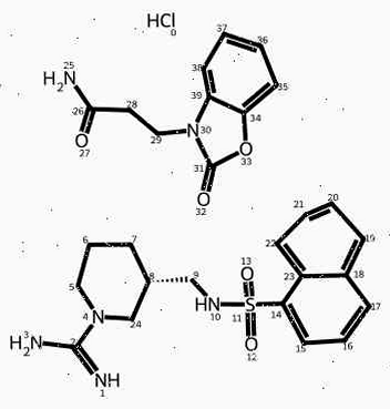 Cl.N=C(N)N1CCC[C@H](CNS(=O)(=O)c2cccc3ccccc23)C1.NC(=O)CCn1c(=O)oc2ccccc21